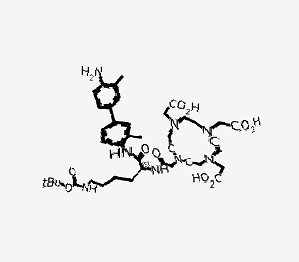 Cc1cc(-c2ccc(NC(=O)[C@H](CCCCNC(=O)OC(C)(C)C)NC(=O)CN3CCN(CC(=O)O)CCN(CC(=O)O)CCN(CC(=O)O)CC3)c(C)c2)ccc1N